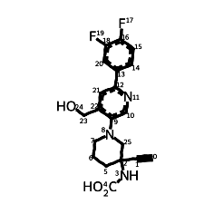 C#CC1(NC(=O)O)CCCN(c2cnc(-c3ccc(F)c(F)c3)cc2CO)C1